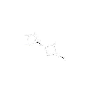 C[C@H]1C[C@@H](C2=[N+]=CN2)C1